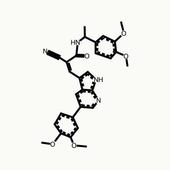 COc1ccc(-c2cnc3[nH]cc(/C=C(/C#N)C(=O)NC(C)c4ccc(OC)c(OC)c4)c3c2)cc1OC